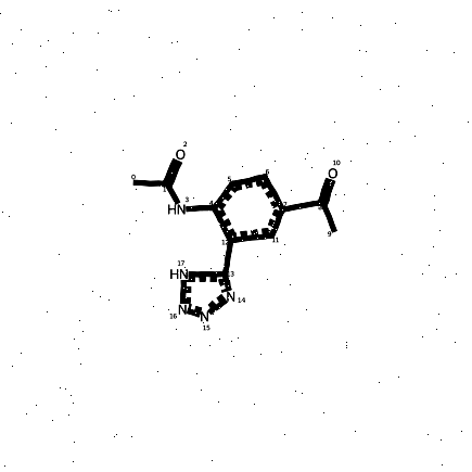 CC(=O)Nc1ccc(C(C)=O)cc1-c1nnn[nH]1